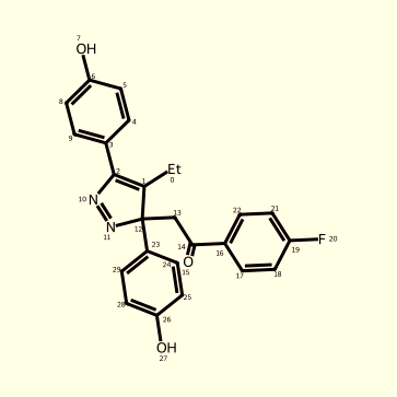 CCC1=C(c2ccc(O)cc2)N=NC1(CC(=O)c1ccc(F)cc1)c1ccc(O)cc1